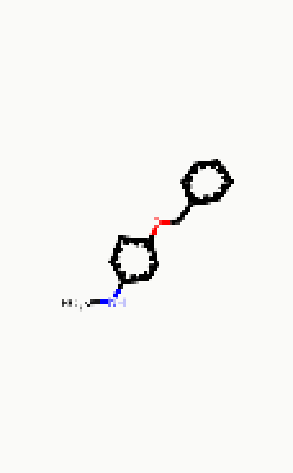 O=S(=O)(O)Nc1ccc(OCc2ccccc2)cc1